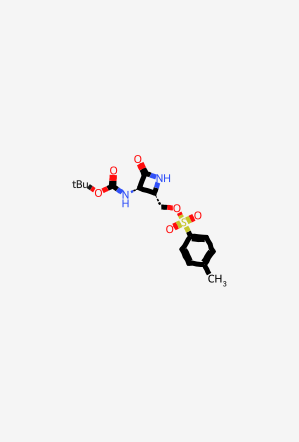 Cc1ccc(S(=O)(=O)OC[C@H]2NC(=O)[C@H]2NC(=O)OC(C)(C)C)cc1